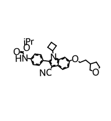 CC(C)OC(=O)Nc1ccc(-c2c(C#N)c3ccc(OCCC4CCOC4)cc3n2C2CCC2)cc1